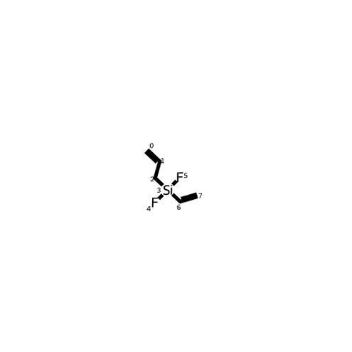 C=CC[Si](F)(F)C=C